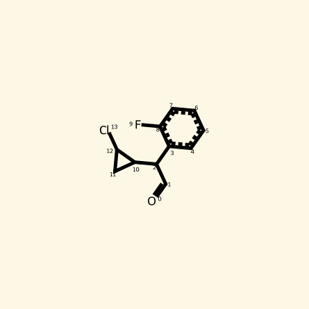 O=CC(c1ccccc1F)C1CC1Cl